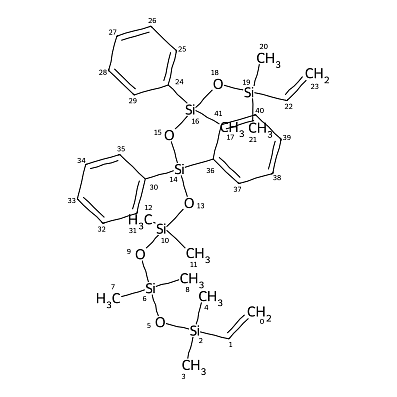 C=C[Si](C)(C)O[Si](C)(C)O[Si](C)(C)O[Si](O[Si](C)(O[Si](C)(C)C=C)c1ccccc1)(c1ccccc1)c1ccccc1